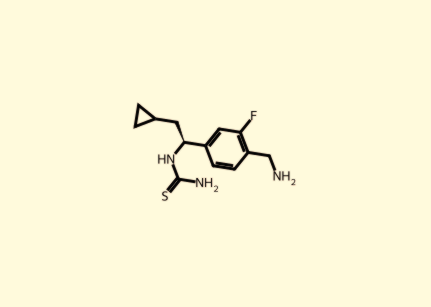 NCc1ccc([C@H](CC2CC2)NC(N)=S)cc1F